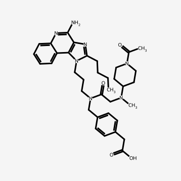 CCCCc1nc2c(N)nc3ccccc3c2n1CCCN(Cc1ccc(CC(=O)O)cc1)C(=O)CN(C)C1CCN(C(C)=O)CC1